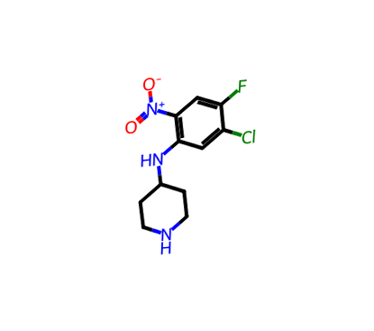 O=[N+]([O-])c1cc(F)c(Cl)cc1NC1CCNCC1